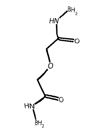 BNC(=O)COCC(=O)NB